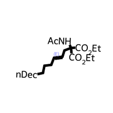 CCCCCCCCCCCCC/C=C/CC(NC(C)=O)(C(=O)OCC)C(=O)OCC